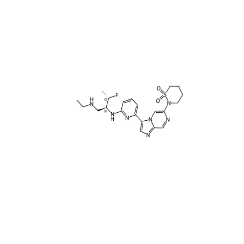 CCNC[C@H](Nc1cccc(-c2cnc3cnc(N4CCCCS4(=O)=O)cn23)n1)[C@H](C)F